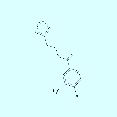 Cc1cc(C(=O)OCCc2ccsc2)ccc1C(C)(C)C